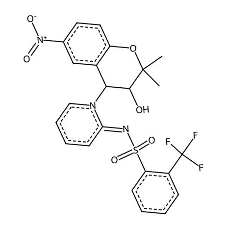 CC1(C)Oc2ccc([N+](=O)[O-])cc2C(n2ccccc2=NS(=O)(=O)c2ccccc2C(F)(F)F)C1O